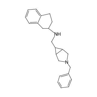 c1ccc(CN2CC3C(CNC4CCc5ccccc5C4)C3C2)cc1